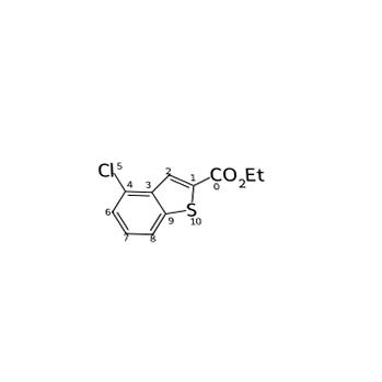 CCOC(=O)c1cc2c(Cl)cccc2s1